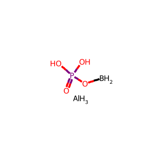 BOP(=O)(O)O.[AlH3]